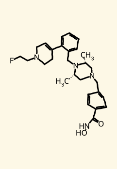 C[C@@H]1CN(Cc2ccc(C(=O)NO)cc2)C[C@H](C)N1Cc1ccccc1C1=CCN(CCF)CC1